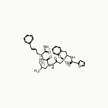 CC(C)C[C@H](NC(=O)CP(=O)(O)C(Cc1ccccc1)NC(=O)c1cccs1)C(=O)N[C@@H](C/C=C/c1ccccc1)C(N)=O